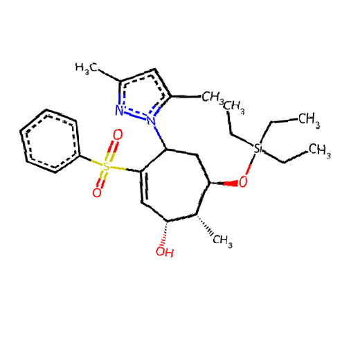 CC[Si](CC)(CC)O[C@@H]1CC(n2nc(C)cc2C)C(S(=O)(=O)c2ccccc2)=C[C@@H](O)[C@H]1C